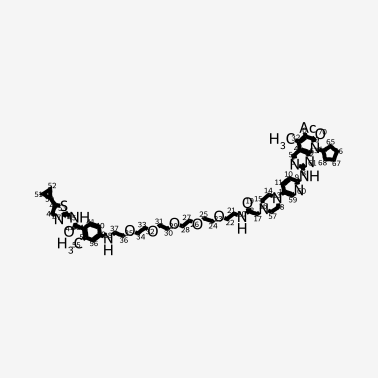 CC(=O)c1c(C)c2cnc(Nc3ccc(N4CCN(CC(=O)NCCOCCOCCOCCOCCOCCNc5ccc(C(=O)NC6=NCC(C7CC7)S6)c(C)c5)CC4)cn3)nc2n(C2CCCC2)c1=O